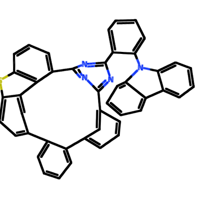 c1ccc(-n2c3ccccc3c3ccccc32)c(-c2nc3nc(n2)c2cccc4sc5ccc(cc5c42)c2ccccc2c2cccc3c2)c1